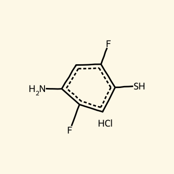 Cl.Nc1cc(F)c(S)cc1F